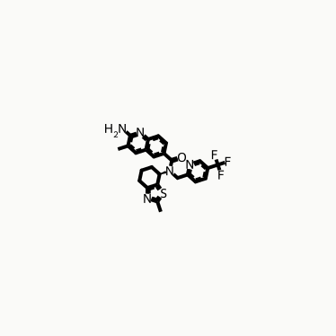 Cc1nc2c(s1)[C@H](N(Cc1ccc(C(F)(F)F)cn1)C(=O)c1ccc3nc(N)c(C)cc3c1)CCC2